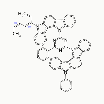 C=C/C(=C\C=C/C)n1c2ccccc2c2c1ccc1c3ccccc3n(-c3nc(-c4ccccc4)nc(-n4c5ccccc5c5ccc6c(c7ccccc7n6-c6ccccc6)c54)n3)c12